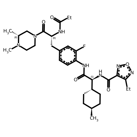 CCC(=O)N[C@H](Cc1ccc(NC(=O)[C@@H](NC(=O)c2nonc2CC)[C@H]2CC[C@H](C)CC2)c(F)c1)C(=O)N1CCN(C)[C@H](C)C1